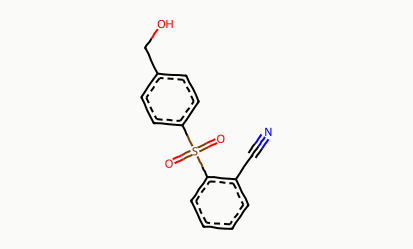 N#Cc1ccccc1S(=O)(=O)c1ccc(CO)cc1